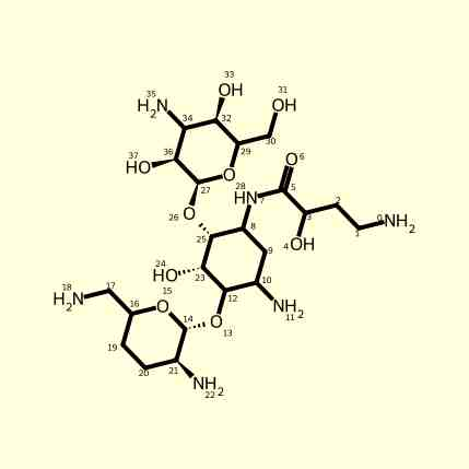 NCCC(O)C(=O)NC1CC(N)C(O[C@H]2OC(CN)CC[C@@H]2N)[C@H](O)[C@@H]1O[C@@H]1OC(CO)[C@H](O)C(N)[C@@H]1O